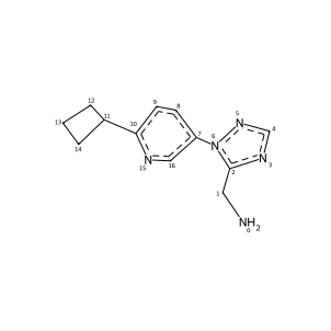 NCc1ncnn1-c1ccc(C2CCC2)nc1